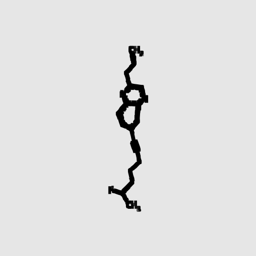 C=CCc1cnc2cc(C#CCCCC(C)F)ccc2n1